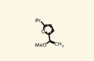 C=C(OC)c1ccc(C(C)C)o1